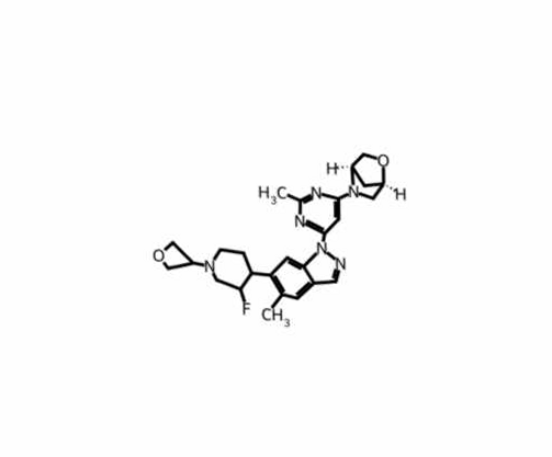 Cc1nc(N2C[C@H]3C[C@@H]2CO3)cc(-n2ncc3cc(C)c(C4CCN(C5COC5)CC4F)cc32)n1